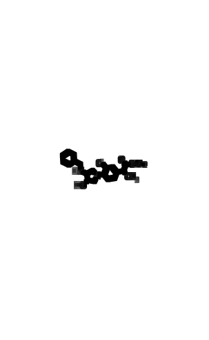 COC(=O)C(C)c1ccc(N2CC(O)C(NCc3ccccc3)C2)c(Cl)c1